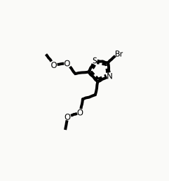 COOCCc1nc(Br)sc1COOC